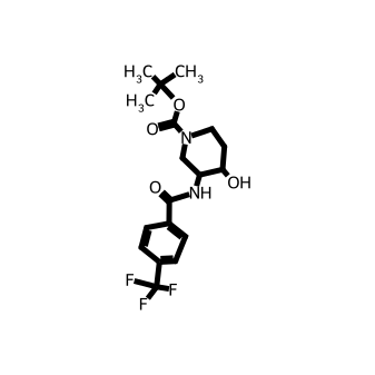 CC(C)(C)OC(=O)N1CCC(O)C(NC(=O)c2ccc(C(F)(F)F)cc2)C1